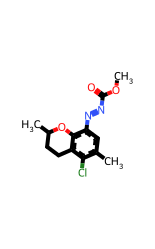 COC(=O)/N=N/c1cc(C)c(Cl)c2c1OC(C)CC2